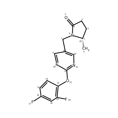 C[C@H]1CCC(=O)N1Cc1cnc(Oc2ccc(F)cc2F)nc1